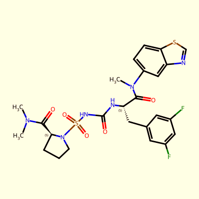 CN(C)C(=O)[C@@H]1CCCN1S(=O)(=O)NC(=O)N[C@@H](Cc1cc(F)cc(F)c1)C(=O)N(C)c1ccc2scnc2c1